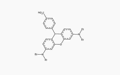 CCN(CC)c1ccc2c(c1)Oc1cc(N(CC)CC)ccc1C2c1ccc(C(=O)O)cc1